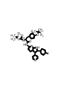 CC(C)(C)OC(=O)NC(Cc1ccc(OC(C)(C)C)cc1)C(=O)Nc1ccc2c(-c3ccncc3)c(-c3ccc(F)cc3)[nH]c2n1